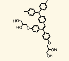 Cc1ccc(N(c2ccc(C)cc2)c2ccc(C=C(c3ccc(OCC(O)CO)cc3)c3ccc(OCC(O)CO)cc3)cc2)cc1